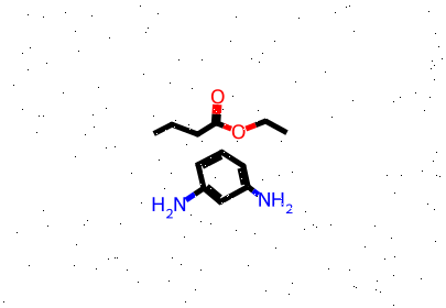 CCCC(=O)OCC.Nc1cccc(N)c1